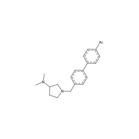 CC(=O)c1ccc(-c2ccc(CN3CCC(N(C)C)C3)cc2)cc1